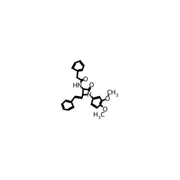 COc1ccc(N2C(=O)C(NC(=O)Cc3ccccc3)C2C=Cc2ccccc2)cc1OC